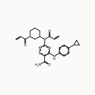 C=CC(=O)N1CCCC(N(C(=O)C=C)c2nnc(C(N)=O)c(Nc3ccc(C4CC4)cc3)n2)C1